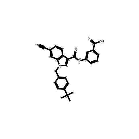 CC(C)(C)c1ccc(Cn2cc(C(=O)Nc3cccc(C(=O)O)c3)c3ccc(C#N)cc32)cc1